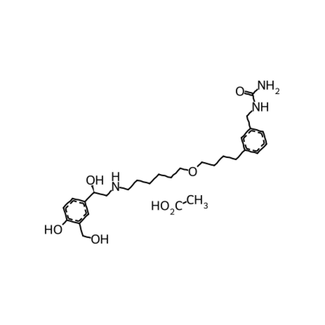 CC(=O)O.NC(=O)NCc1cccc(CCCCOCCCCCCNC[C@H](O)c2ccc(O)c(CO)c2)c1